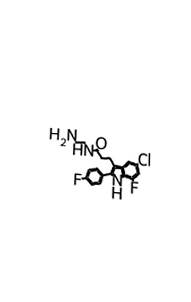 NCCNC(=O)CCc1c(-c2ccc(F)cc2)[nH]c2c(F)cc(Cl)cc12